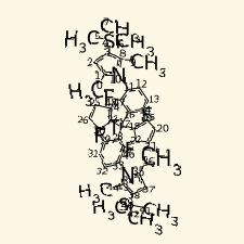 Cc1cc([Si](C)(C)C)c(C)n1-c1ccc(F)[c]([Ti]([C]2=CC=CC2)([C]2=CC=CC2)[c]2c(F)ccc(-n3c(C)cc([Si](C)(C)C)c3C)c2F)c1F